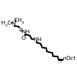 CCCCCCCC/C=C\CCCCCCCCNCCC(=O)NCCCN(C)C